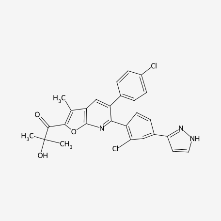 Cc1c(C(=O)C(C)(C)O)oc2nc(-c3ccc(-c4cc[nH]n4)cc3Cl)c(-c3ccc(Cl)cc3)cc12